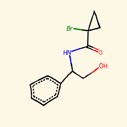 O=C(NC(CO)c1ccccc1)C1(Br)CC1